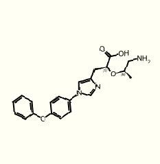 C[C@H](CN)O[C@@H](Cc1cn(-c2ccc(Oc3ccccc3)cc2)cn1)C(=O)O